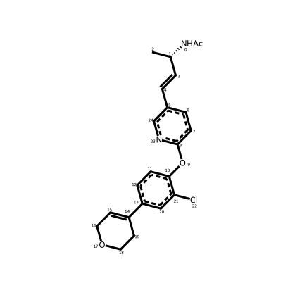 CC(=O)N[C@@H](C)/C=C/c1ccc(Oc2ccc(C3=CCOCC3)cc2Cl)nc1